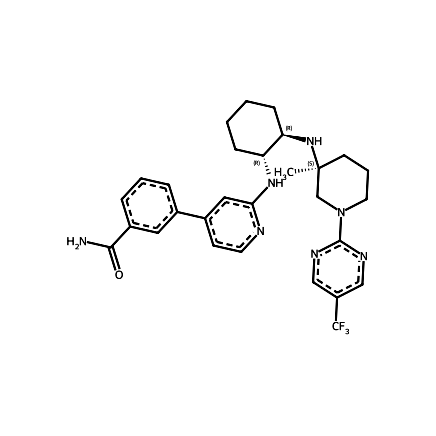 C[C@]1(N[C@@H]2CCCC[C@H]2Nc2cc(-c3cccc(C(N)=O)c3)ccn2)CCCN(c2ncc(C(F)(F)F)cn2)C1